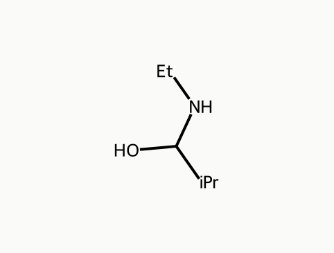 CCNC(O)C(C)C